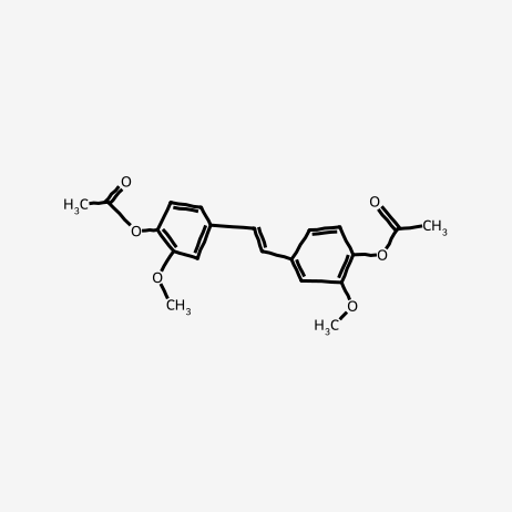 COc1cc(C=Cc2ccc(OC(C)=O)c(OC)c2)ccc1OC(C)=O